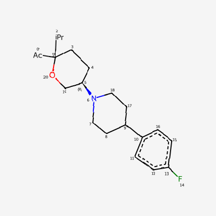 CC(=O)C1(C(C)C)CC[C@@H](N2CCC(c3ccc(F)cc3)CC2)CO1